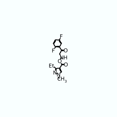 CCc1nn(C)cc1C(=O)ONCC(=O)c1cc(F)ccc1F